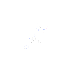 Cc1ccnc([C@H]2C[C@H]2c2ccc3c(C#N)cc(NCc4cn5cc(C6CC6)cc(N6CC(=O)N(C)C6=O)c5n4)cc3n2)n1